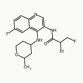 CCC(CF)C(=O)Nc1cnc2ccc(F)cc2c1NC1CCOC(C)C1